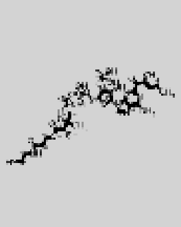 CCC=C(C)C(=O)c1nc(N)c2ncn([C@@H]3O[C@H](COP(=O)(O)OP(=O)(O)OCC(C)(C)[C@@H](O)C(=O)NCCC(=O)NCCS)[C@@H](OP(=O)(O)O)[C@H]3O)c2n1